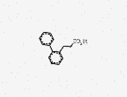 CCOC(=O)CCc1ccccc1-c1ccccc1